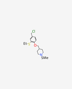 CCSc1cc(CCl)ccc1OCC1CCN(SC)CC1